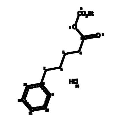 CCOC(=O)OC(=O)CCCCc1ccccc1.Cl